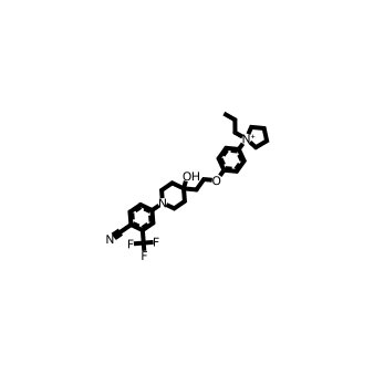 CCC[N+]1(c2ccc(OCCC3(O)CCN(c4ccc(C#N)c(C(F)(F)F)c4)CC3)cc2)CCCC1